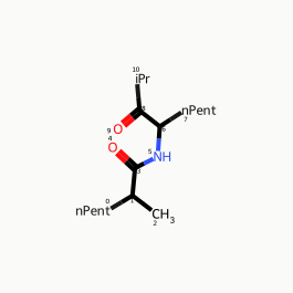 CCCCCC(C)C(=O)NC(CCCCC)C(=O)C(C)C